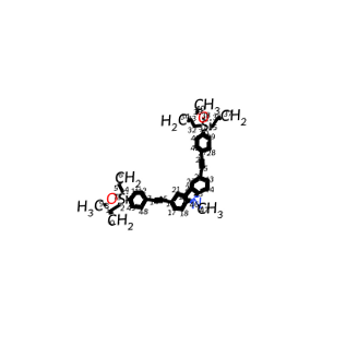 C=CC[Si](CC=C)(OCC)c1ccc(C#Cc2ccc3c(c2)c2cc(C#Cc4ccc([Si](CC=C)(CC=C)OCC)cc4)ccc2n3C)cc1